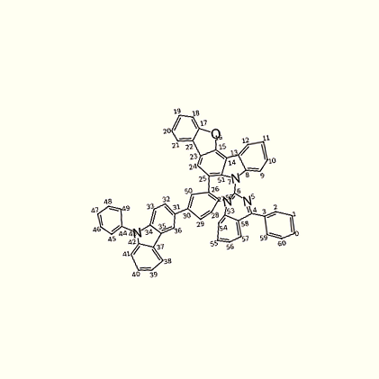 c1ccc(-c2nc(-n3c4ccccc4c4c5oc6ccccc6c5cc(-c5cccc(-c6ccc7c(c6)c6ccccc6n7-c6ccccc6)c5)c43)nc3ccccc23)cc1